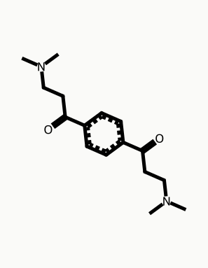 CN(C)CCC(=O)c1ccc(C(=O)CCN(C)C)cc1